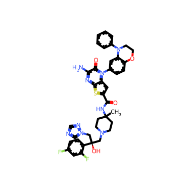 CC1(NC(=O)c2cc3c(nc(N)c(=O)n3-c3ccc4c(c3)N(c3ccccc3)CCO4)s2)CCN(C[C@@](O)(Cn2cncn2)c2ccc(F)cc2F)CC1